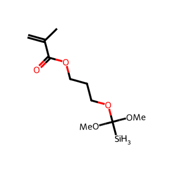 C=C(C)C(=O)OCCCOC([SiH3])(OC)OC